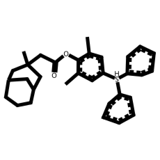 Cc1cc([SH](c2ccccc2)c2ccccc2)cc(C)c1OC(=O)CC1(C)CC2CCCC(C2)C1